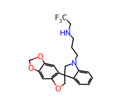 FC(F)(F)CNCCCN1CC2(COc3cc4c(cc32)OCO4)c2ccccc21